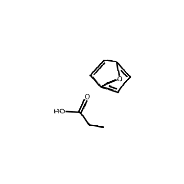 CCC(=O)O.c1cc2ccc1o2